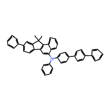 CC1(C)c2cc(-c3ccccc3)ccc2-c2cc(N(c3ccccc3)c3ccc(-c4ccc(-c5ccccc5)cc4)cc3)c3ccccc3c21